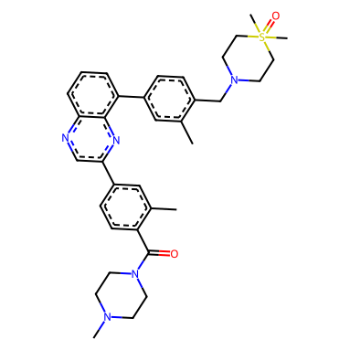 Cc1cc(-c2cccc3ncc(-c4ccc(C(=O)N5CCN(C)CC5)c(C)c4)nc23)ccc1CN1CCS(C)(C)(=O)CC1